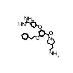 N=C(N)c1ccc(Oc2cc(OCCc3ccccc3)cc(C(=O)N3CCC(CCN)CC3)c2)cc1